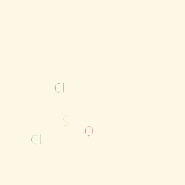 C1CCCCC1.[O-][S+](Cl)Cl